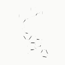 CC(=O)Oc1c(OC(=O)c2ccccc2)c(=O)oc2cc(OCC=C(C)CCC=C(C)C)ccc12